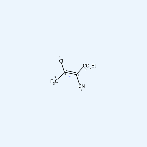 CCOC(=O)/C(C#N)=C(\Cl)C(F)(F)F